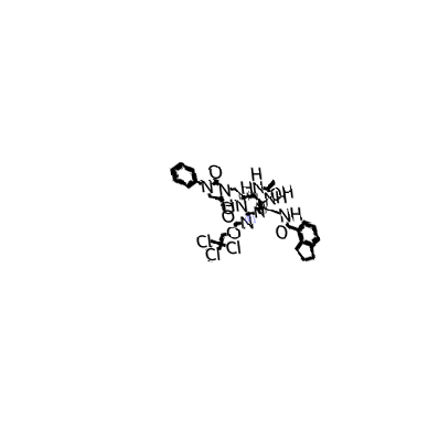 C=C1N[C@H]2[C@H](CN3C(=O)CN(c4ccccc4)C3=O)N/C(=N\C(=O)OCC(Cl)(Cl)Cl)N3C[C@H](NC(=O)c4cccc5c4CCC5)[C@H](O)[C@]23N1